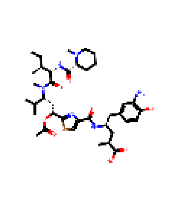 CC[C@H](C)[C@H](NC(=O)[C@H]1CCCCN1C)C(=O)N(C)[C@H](C[C@@H](OC(C)=O)c1nc(C(=O)N[C@@H](Cc2ccc(O)c(N)c2)CC(C)C(=O)O)cs1)C(C)C